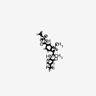 CC(Nc1ncc(C(F)(F)F)cc1Cl)c1nn(C)c2cc(C(=O)NS(=O)(=O)C3CC3)ccc12